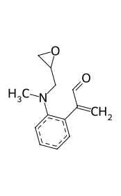 C=C(C=O)c1ccccc1N(C)CC1CO1